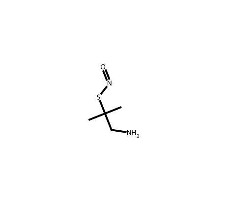 CC(C)(CN)SN=O